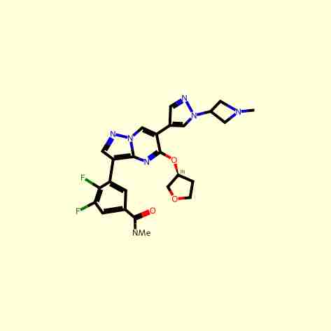 CNC(=O)c1cc(F)c(F)c(-c2cnn3cc(-c4cnn(C5CN(C)C5)c4)c(O[C@H]4CCOC4)nc23)c1